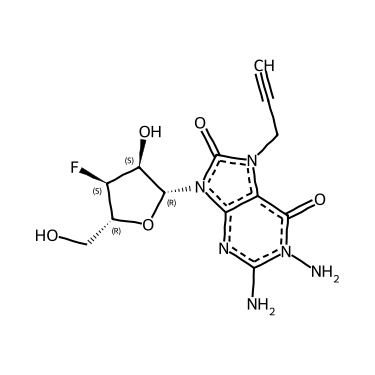 C#CCn1c(=O)n([C@@H]2O[C@H](CO)[C@@H](F)[C@H]2O)c2nc(N)n(N)c(=O)c21